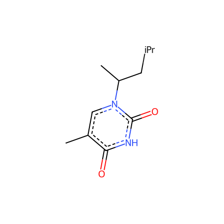 Cc1cn(C(C)CC(C)C)c(=O)[nH]c1=O